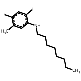 CCCCCCCCNc1cc(C)c(I)cc1I